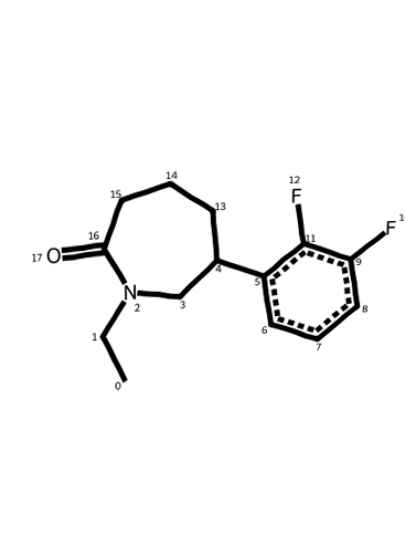 CCN1CC(c2cccc(F)c2F)CCCC1=O